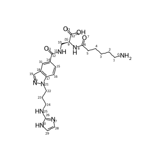 NCCCCCC(=O)N[C@@H](CNC(=O)c1ccc2c(cnn2CCCNc2ncc[nH]2)c1)C(=O)O